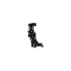 CC(C)Sc1cccc(-c2cc(F)c(N3CCC(CCC(=O)O)CC3)c(F)c2)n1